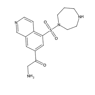 NCC(=O)c1cc(S(=O)(=O)N2CCCNCC2)c2ccncc2c1